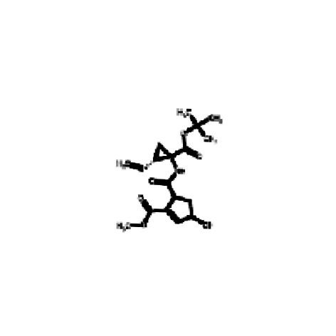 C=C[C@@H]1C[C@]1(NC(=O)C1CC(O)C=C1C(=O)OC)C(=O)OC(C)(C)C